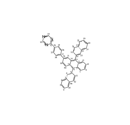 c1ccc2cc(-c3c4ccccc4c(-c4ccc5ccccc5c4)c4cc(-c5ccc(-c6ncncn6)cc5)ccc34)ccc2c1